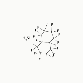 FC1(F)C(F)(F)C(F)(F)C2(F)C(F)(F)C(F)(F)C(F)(F)C(F)(F)C2(F)C1(F)F.[SiH4]